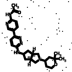 CC(=O)Nc1ccc(-c2ccc(NC3C[C@@H]4CN(C5CCOC(C)(C)C5)C[C@@H]4C3)nn2)cn1